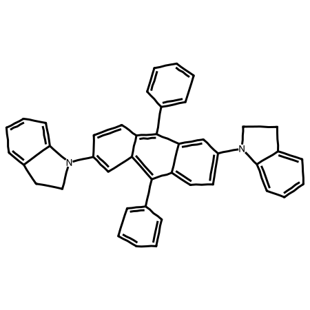 c1ccc(-c2c3ccc(N4CCc5ccccc54)cc3c(-c3ccccc3)c3ccc(N4CCc5ccccc54)cc23)cc1